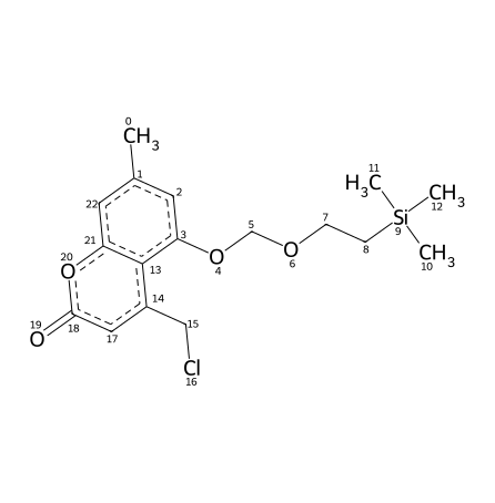 Cc1cc(OCOCC[Si](C)(C)C)c2c(CCl)cc(=O)oc2c1